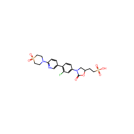 O=C1OC(CCS(=O)(=O)O)CN1c1ccc(-c2ccc(N3CCS(=O)(=O)CC3)nc2)c(F)c1